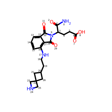 NC(=O)C(CCC(=O)O)N1C(=O)c2cccc(NCCC3CC4(CNC4)C3)c2C1=O